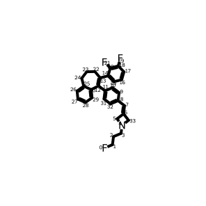 FCCCN1CC(=Cc2ccc(C3=C(c4cccc(F)c4F)CCCc4ccccc43)cc2)C1